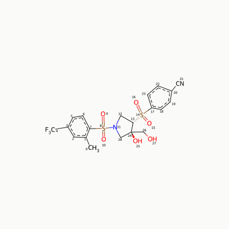 Cc1cc(C(F)(F)F)ccc1S(=O)(=O)N1C[C@H](S(=O)(=O)c2ccc(C#N)cc2)[C@](O)(CO)C1